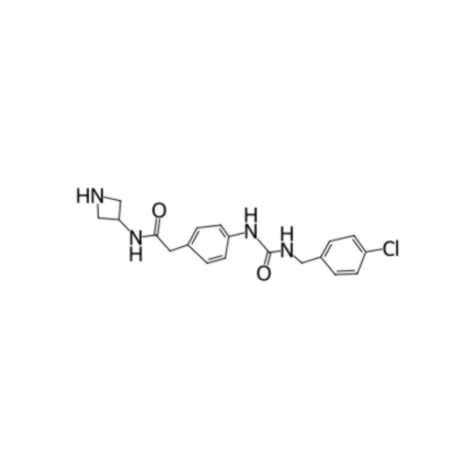 O=C(Cc1ccc(NC(=O)NCc2ccc(Cl)cc2)cc1)NC1CNC1